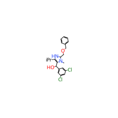 CC(C)C1=C(C(O)c2cc(Cl)cc(Cl)c2)N(C)C(COCc2ccccc2)N1